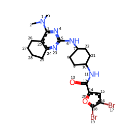 CN(C)c1nc(NC2CCC(NC(=O)c3cc(Br)c(Br)o3)CC2)nc2c1CCCC2